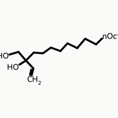 C=CC(O)(CO)CCCCCCCCCCCCCCCC